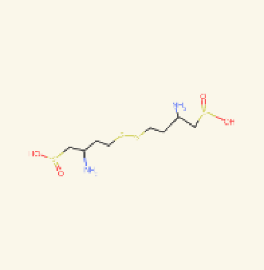 NC(CCSSCCC(N)CS(=O)O)CS(=O)O